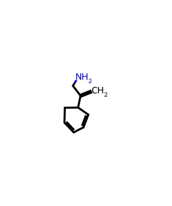 C=C(CN)C1C=CC=CC1